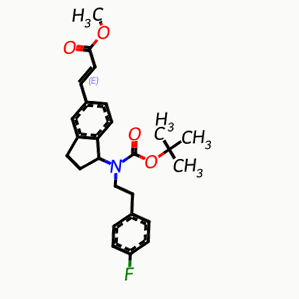 COC(=O)/C=C/c1ccc2c(c1)CCC2N(CCc1ccc(F)cc1)C(=O)OC(C)(C)C